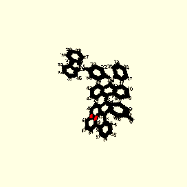 Cc1ccc2c(-c3c4ccccc4c(N(c4ccccc4)c4ccc(-n5c6ccccc6c6ccccc65)cc4)c4ccccc34)c3ccccc3c(-c3ccccc3-c3ccccc3)c2c1